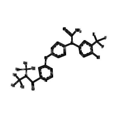 [2H]C([2H])([2H])N(C(=O)c1cc(Oc2ccc(N(C(N)=O)c3ccc(Cl)c(C(F)(F)F)c3)cc2)ccn1)C([2H])([2H])[2H]